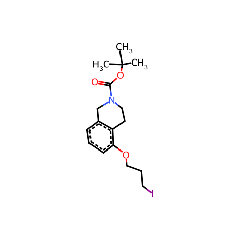 CC(C)(C)OC(=O)N1CCc2c(cccc2OCCCI)C1